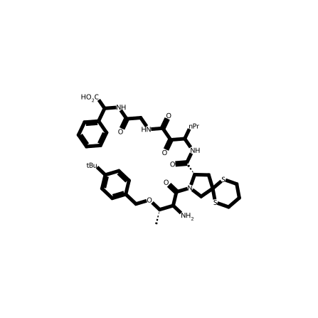 CCCC(NC(=O)[C@@H]1CC2(CN1C(=O)C(N)[C@H](C)OCc1ccc(C(C)(C)C)cc1)SCCCS2)C(=O)C(=O)NCC(=O)NC(C(=O)O)c1ccccc1